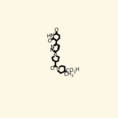 CC1(C(=O)O)CCN(C(=O)C2CCN(c3ccc(C4CCC(=O)NC4=O)nn3)CC2)CC1